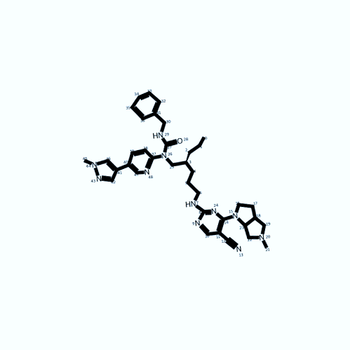 CCC[C@@H](CCCNc1ncc(C#N)c(N2CCC3CN(C)CC32)n1)CN(C(=O)NCc1ccccc1)c1ccc(-c2cnn(C)c2)cn1